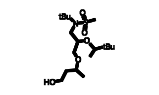 CC(CCO)OCC(CN(C(C)(C)C)S(C)(=O)=O)OC(C)C(C)(C)C